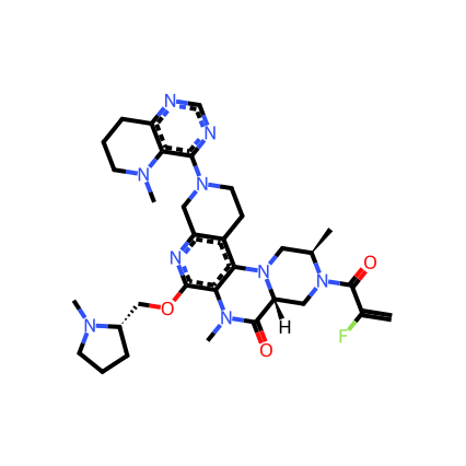 C=C(F)C(=O)N1C[C@@H]2C(=O)N(C)c3c(OC[C@@H]4CCCN4C)nc4c(c3N2C[C@H]1C)CCN(c1ncnc2c1N(C)CCC2)C4